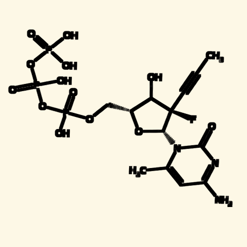 CC#C[C@@]1(F)C(O)[C@@H](COP(=O)(O)OP(=O)(O)OP(=O)(O)O)O[C@H]1n1c(C)cc(N)nc1=O